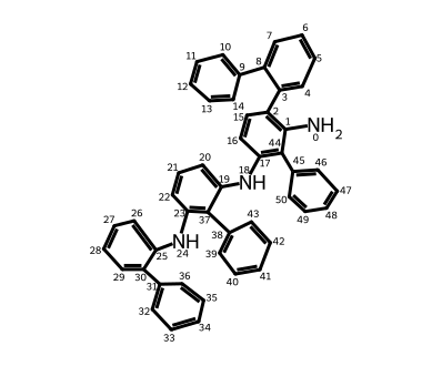 Nc1c(-c2ccccc2-c2ccccc2)ccc(Nc2cccc(Nc3ccccc3-c3ccccc3)c2-c2ccccc2)c1-c1ccccc1